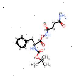 CC(C)(C)OC(=O)N[C@@H](Cc1ccccc1)C(=O)ONC(=O)CCC(N)=O